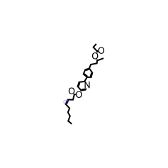 CCCCC/C=C\CC(=O)Oc1ccc(-c2ccc(CCC(C)OC(=O)CC)cc2)nc1